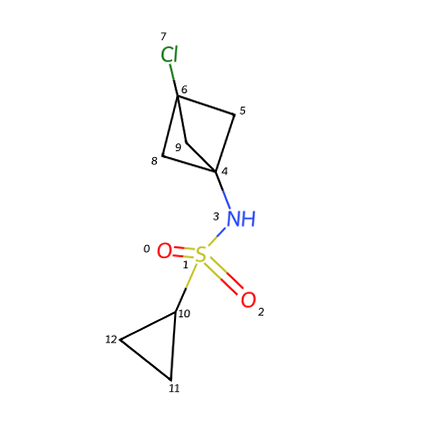 O=S(=O)(NC12CC(Cl)(C1)C2)C1CC1